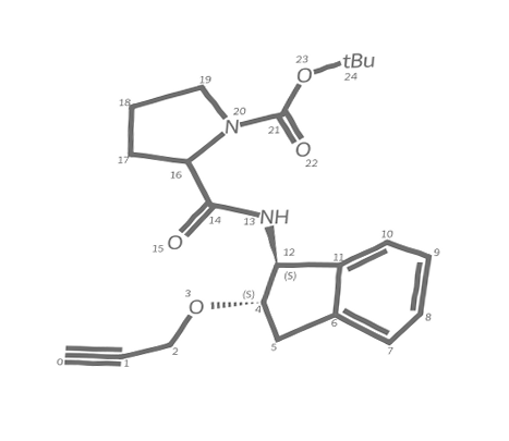 C#CCO[C@H]1Cc2ccccc2[C@@H]1NC(=O)C1CCCN1C(=O)OC(C)(C)C